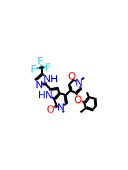 Cc1cccc(C)c1Oc1cn(C)c(=O)cc1-c1cn(C)c(=O)c2[nH]c(-c3ncc(C(F)(F)F)[nH]3)cc12